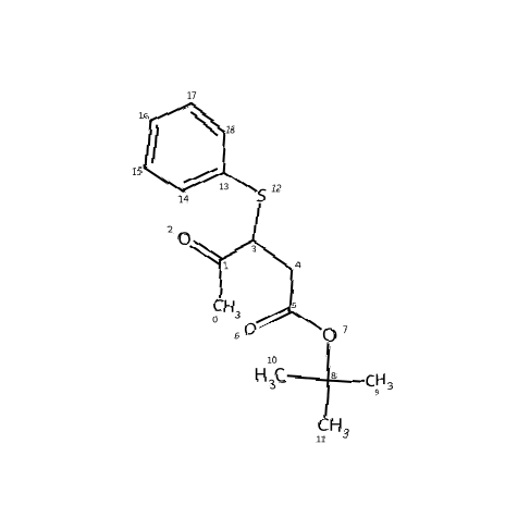 CC(=O)C(CC(=O)OC(C)(C)C)Sc1ccccc1